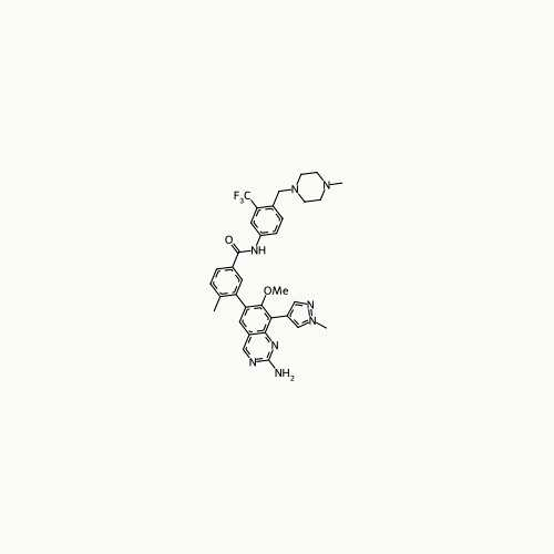 COc1c(-c2cc(C(=O)Nc3ccc(CN4CCN(C)CC4)c(C(F)(F)F)c3)ccc2C)cc2cnc(N)nc2c1-c1cnn(C)c1